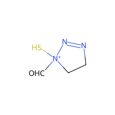 O=C[N+]1(S)CCN=N1